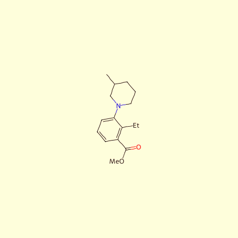 CCc1c(C(=O)OC)cccc1N1CCCC(C)C1